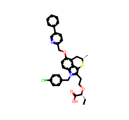 CC[C@@H](OCCc1c2c3c(c(OCc4ccc(-c5ccccc5)cn4)ccc3n1Cc1ccc(Cl)cc1)C[C@H](C)S2)C(=O)O